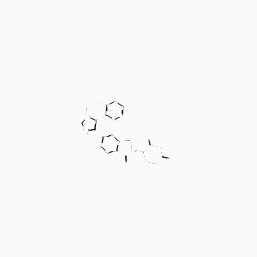 Cn1cnc(-c2ccc3c(c2)CN(C2CCC(=O)NC2=O)C3=O)c1-c1cccc(F)c1Cl